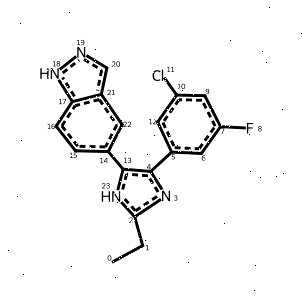 CCc1nc(-c2cc(F)cc(Cl)c2)c(-c2ccc3[nH]ncc3c2)[nH]1